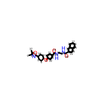 Cc1nc(C2CCC(Oc3ccc(C(=O)NCCNC(=O)c4ccc5ccccc5c4)cc3)CC2)oc1C